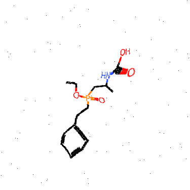 CCOP(=O)(CCc1ccccc1)CC(C)NC(=O)O